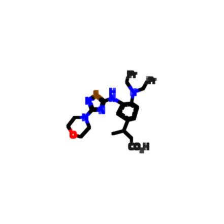 CC(C)CN(CC(C)C)c1ccc(C(C)CC(=O)O)cc1Nc1nc(N2CCOCC2)ns1